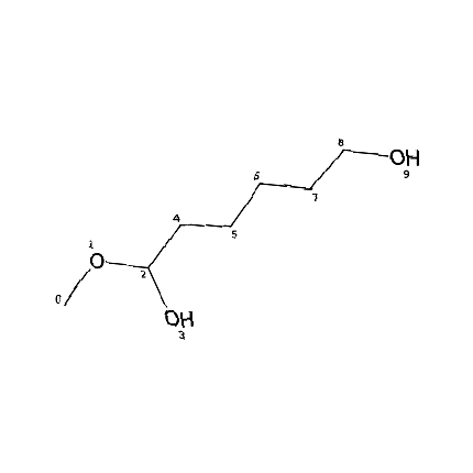 COC(O)CCCCCO